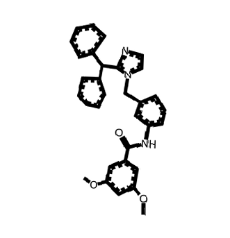 COc1cc(OC)cc(C(=O)Nc2cccc(Cn3ccnc3C(c3ccccc3)c3ccccc3)c2)c1